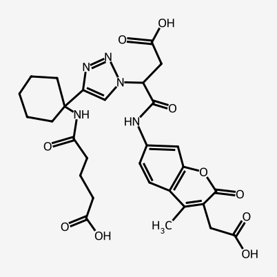 Cc1c(CC(=O)O)c(=O)oc2cc(NC(=O)C(CC(=O)O)n3cc(C4(NC(=O)CCCC(=O)O)CCCCC4)nn3)ccc12